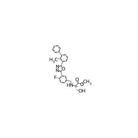 COC(=O)[C@H](CO)NCc1ccc(F)c(-c2nnc(-c3cccc(-c4ccccc4)c3C)o2)c1